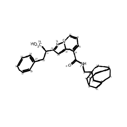 O=C(NCC12CC3CC(CC(C3)C1)C2)c1cccn2nc(C(Cc3ccccc3)C(=O)O)cc12